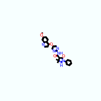 COc1ccc2c(Oc3cnc(NC(=O)C4C(=O)N(c5ccccc5)NC4(C)C)nc3)ccnc2c1